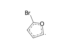 Brc1cc[c]o1